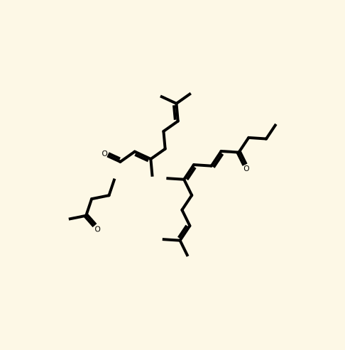 CC(C)=CCCC(C)=CC=O.CCCC(=O)C=CC=C(C)CCC=C(C)C.CCCC(C)=O